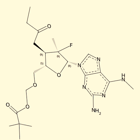 CCC(=O)C[C@@H]1[C@@H](COCOC(=O)C(C)(C)C)O[C@@H](n2cnc3c(NC)nc(N)nc32)[C@]1(C)F